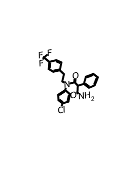 NC(=O)C(C(=O)N(CCc1ccc(C(F)(F)F)cc1)c1ccc(Cl)cc1)c1ccccc1